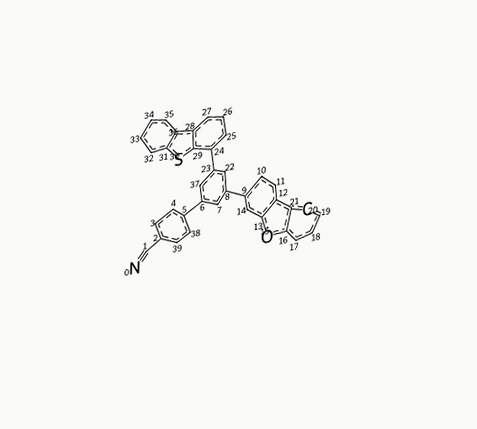 N#Cc1ccc(-c2cc(-c3ccc4c(c3)oc3ccccc34)cc(-c3cccc4c3sc3ccccc34)c2)cc1